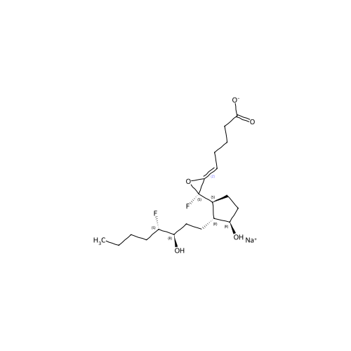 CCCC[C@H](F)[C@H](O)CC[C@H]1[C@H](O)CC[C@@H]1[C@@]1(F)O/C1=C\CCCC(=O)[O-].[Na+]